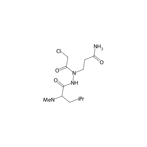 CNC(CC(C)C)C(=O)NN(CCC(N)=O)C(=O)CCl